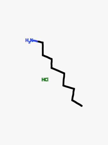 CCCCCCCCCN.Cl